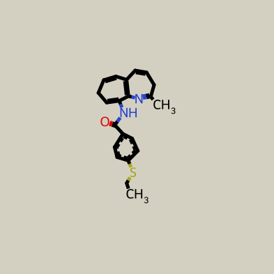 CCSc1ccc(C(=O)NC2=CCC=CC3=C2N=C(C)CC=C3)cc1